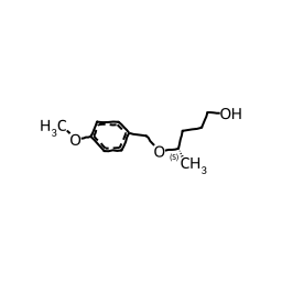 COc1ccc(CO[C@@H](C)CCCO)cc1